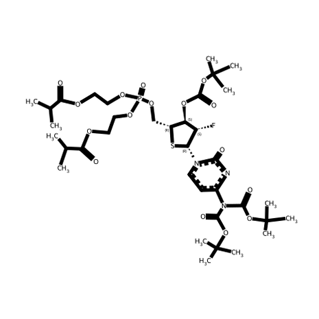 CC(C)C(=O)OCCOP(=O)(OCCOC(=O)C(C)C)OC[C@H]1S[C@@H](n2ccc(N(C(=O)OC(C)(C)C)C(=O)OC(C)(C)C)nc2=O)[C@@H](F)[C@@H]1OC(=O)OC(C)(C)C